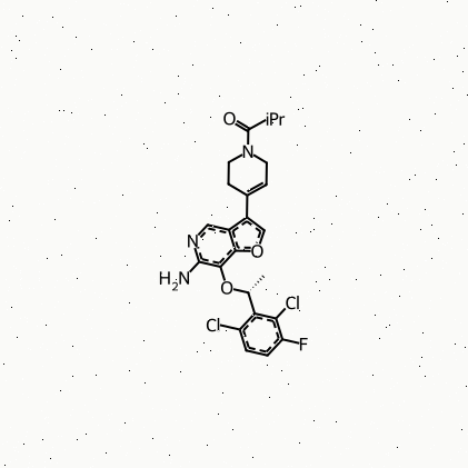 CC(C)C(=O)N1CC=C(c2coc3c(O[C@H](C)c4c(Cl)ccc(F)c4Cl)c(N)ncc23)CC1